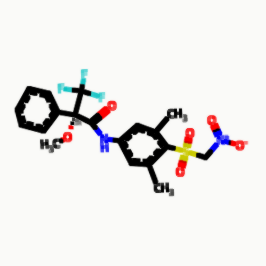 CO[C@](C(=O)Nc1cc(C)c(S(=O)(=O)C[N+](=O)[O-])c(C)c1)(c1ccccc1)C(F)(F)F